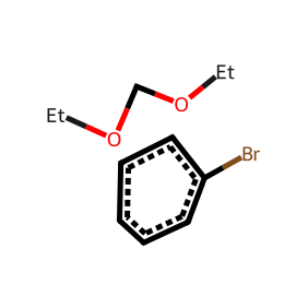 Brc1ccccc1.CCOCOCC